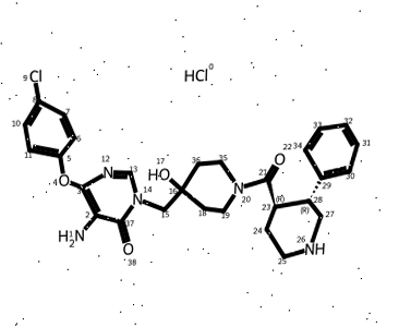 Cl.Nc1c(Oc2ccc(Cl)cc2)ncn(CC2(O)CCN(C(=O)[C@@H]3CCNC[C@H]3c3ccccc3)CC2)c1=O